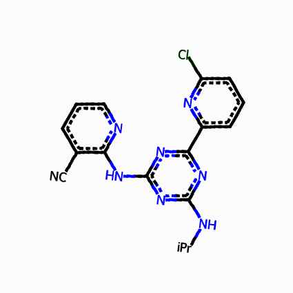 CC(C)Nc1nc(Nc2ncccc2C#N)nc(-c2cccc(Cl)n2)n1